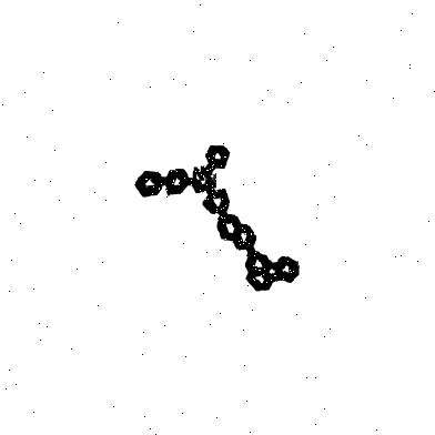 c1ccc(-c2ccc(-c3cc(-c4ccc(-c5ccc6cc(-c7cc8c9c(cccc9c7)-c7ccccc7-8)ccc6c5)cc4)nc(-c4ccccc4)n3)cc2)cc1